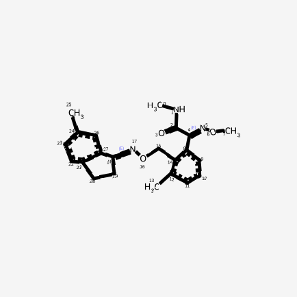 CNC(=O)/C(=N/OC)c1cccc(C)c1CO/N=C1\CCc2ccc(C)cc21